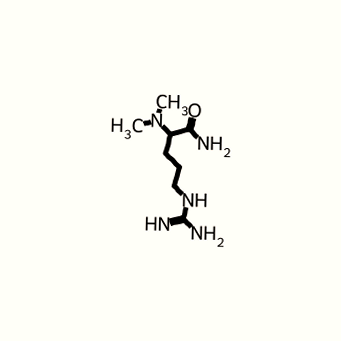 CN(C)C(CCCNC(=N)N)C(N)=O